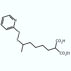 CCOC(=O)C(CCCCC(C)SSc1ccccn1)C(=O)O